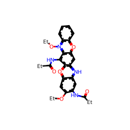 CCOc1cc2oc3c(NC(=O)CC)c4c(cc3[nH]c2cc1NC(=O)CC)oc1ccccc1n4OCC